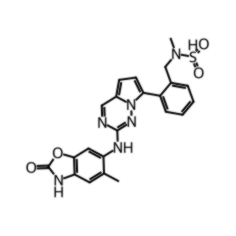 Cc1cc2[nH]c(=O)oc2cc1Nc1ncc2ccc(-c3ccccc3CN(C)[SH](=O)=O)n2n1